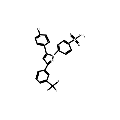 NS(=O)(=O)c1ccc(-n2nc(-c3cccc(C(F)(F)F)c3)cc2-c2ccc(Cl)cc2)cc1